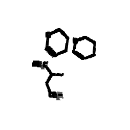 C1=COCCC1.C1=COCCC1.CC(CC(=O)O)C(=O)O